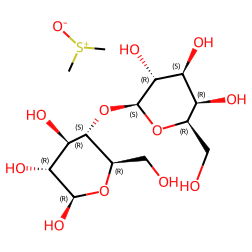 C[S+](C)[O-].OC[C@H]1O[C@@H](O[C@H]2[C@H](O)[C@@H](O)[C@H](O)O[C@@H]2CO)[C@H](O)[C@@H](O)[C@H]1O